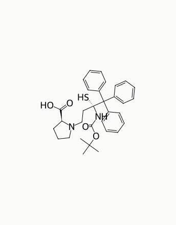 CC(C)(C)OC(=O)N[C@@](S)(CCN1CCC[C@H]1C(=O)O)C(c1ccccc1)(c1ccccc1)c1ccccc1